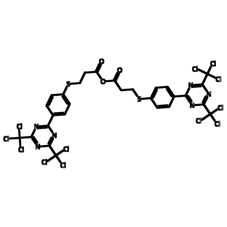 O=C(CCSc1ccc(-c2nc(C(Cl)(Cl)Cl)nc(C(Cl)(Cl)Cl)n2)cc1)OC(=O)CCSc1ccc(-c2nc(C(Cl)(Cl)Cl)nc(C(Cl)(Cl)Cl)n2)cc1